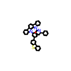 c1ccc(-c2cccc(-n3c4ccccc4c4ccc5c6ccccc6n(-c6cccc(-c7ccc8sc9ccccc9c8c7)c6)c5c43)n2)cc1